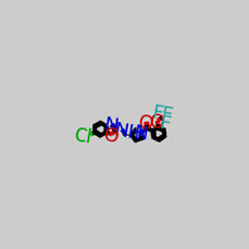 O=C(c1ccccc1OC(F)(F)F)N1CC[C@H](CNc2nc3ccc(Cl)cc3o2)C1